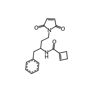 O=C(NC(CCN1C(=O)C=CC1=O)Cc1ccccc1)C1=CCC1